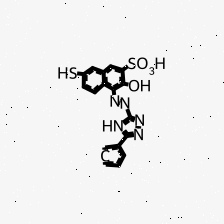 O=S(=O)(O)c1cc2cc(S)ccc2c(N=Nc2nnc(-c3ccccc3)[nH]2)c1O